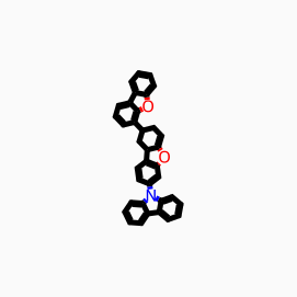 C1=C2Oc3cc(-n4c5ccccc5c5ccccc54)ccc3C2CC(c2cccc3c2oc2ccccc23)C1